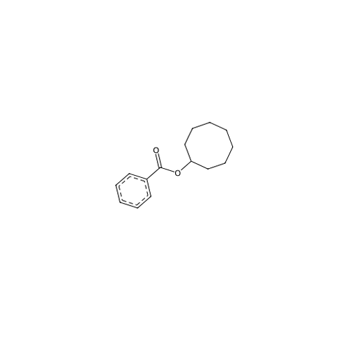 O=C(OC1CCCCCCC1)c1ccccc1